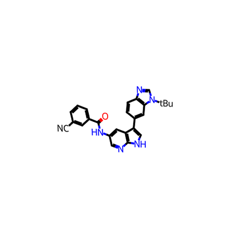 CC(C)(C)n1cnc2ccc(-c3c[nH]c4ncc(NC(=O)c5cccc(C#N)c5)cc34)cc21